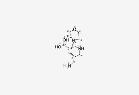 NCC1=CC(C(O)O)=C(N2CCOCC2)NC1